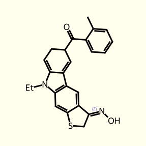 CCn1c2c(c3cc4c(cc31)SC/C4=N\O)=CC(C(=O)c1ccccc1C)CC=2